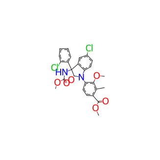 COC(=O)NC1(c2ccccc2Cl)C(=O)N(c2ccc(C(=O)OC)c(C)c2OC)c2ccc(Cl)cc21